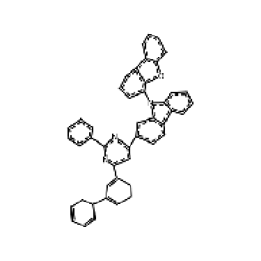 C1=CCC(C2=CCCC(c3cc(-c4ccc5c6ccccc6n(-c6cccc7c6oc6ccccc67)c5c4)nc(-c4ccccc4)n3)=C2)C=C1